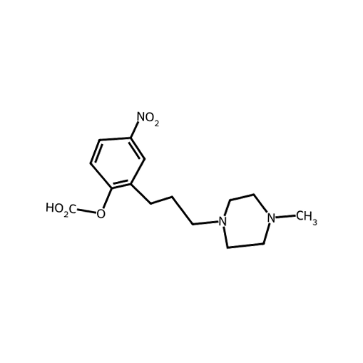 CN1CCN(CCCc2cc([N+](=O)[O-])ccc2OC(=O)O)CC1